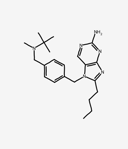 CCCCc1nc2nc(N)ncc2n1Cc1ccc(CN(C)C(C)(C)C)cc1